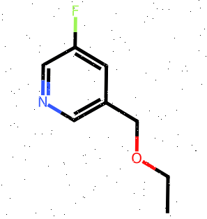 CCOCc1cncc(F)c1